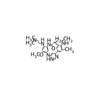 C=CNc1ccc(-c2cc(Nc3cc(NC(=O)C=C)c(NCCN(C)C)cc3OC)ncn2)cc1C